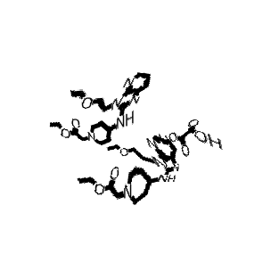 CCOCCn1c(NC2CCN(CC(=O)OCC)CC2)nc2cccnc21.CCOCCn1c(NC2CCN(CC(=O)OCC)CC2)nc2cccnc21.O=C(O)C(=O)O